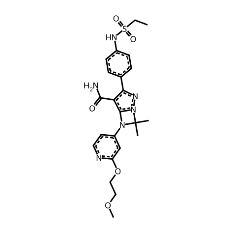 CCS(=O)(=O)Nc1ccc(-c2nn3c(c2C(N)=O)N(c2ccnc(OCCOC)c2)C3(C)C)cc1